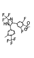 Cc1cc(-c2[nH]c(C(F)(F)F)nc2-c2cc(F)c(S(C)(=O)=O)c(F)c2)ccc1C(F)(F)F